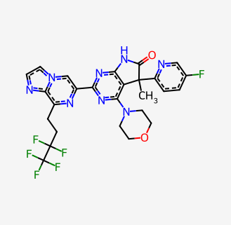 CC1(c2ccc(F)cn2)C(=O)Nc2nc(-c3cn4ccnc4c(CCC(F)(F)C(F)(F)F)n3)nc(N3CCOCC3)c21